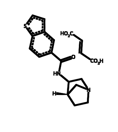 O=C(NC1CN2CC[C@H]1C2)c1ccc2sccc2c1.O=C(O)/C=C/C(=O)O